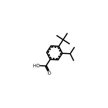 CC(C)c1cc(C(=O)O)ccc1C(C)(C)C